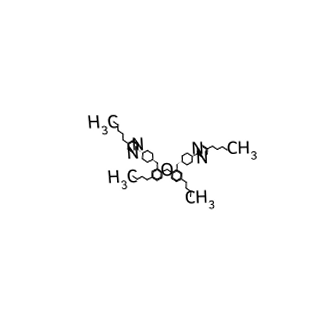 CCCCCc1cnc([C@H]2CC[C@H](Cc3cc(CCCC)ccc3Oc3ccc(CCCC)cc3C[C@H]3CC[C@H](c4ncc(CCCCC)cn4)CC3)CC2)nc1